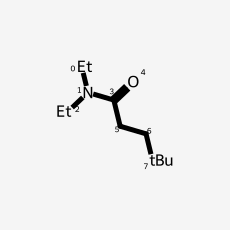 CCN(CC)C(=O)CCC(C)(C)C